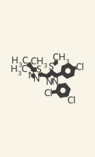 CCSc1c(-c2nnc(C(C)(C)C)s2)nn(-c2ccc(Cl)cc2Cl)c1-c1ccc(Cl)cc1